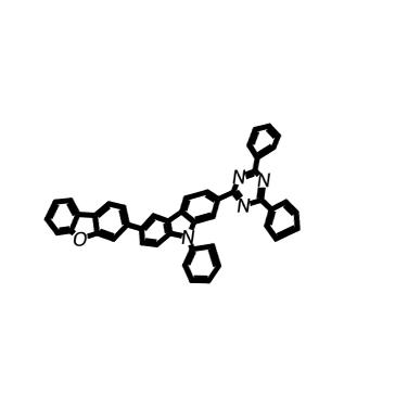 c1ccc(-c2nc(-c3ccccc3)nc(-c3ccc4c5cc(-c6ccc7c(c6)oc6ccccc67)ccc5n(-c5ccccc5)c4c3)n2)cc1